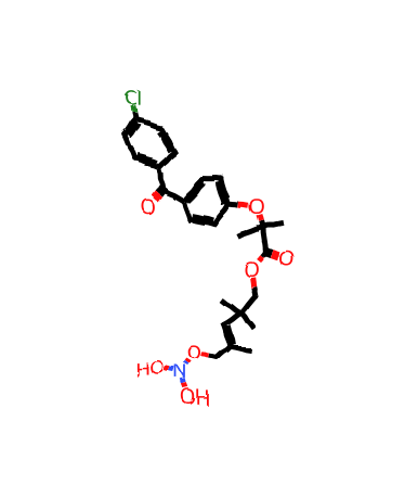 C/C(=C\C(C)(C)COC(=O)C(C)(C)Oc1ccc(C(=O)c2ccc(Cl)cc2)cc1)CON(O)O